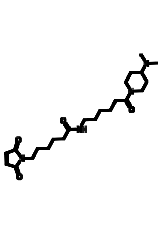 CN(C)C1CCN(C(=O)CCCCCNC(=O)CCCCCN2C(=O)C=CC2=O)CC1